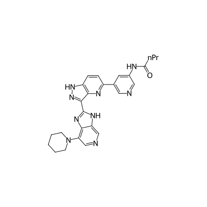 CCCC(=O)Nc1cncc(-c2ccc3[nH]nc(-c4nc5c(N6CCCCC6)cncc5[nH]4)c3n2)c1